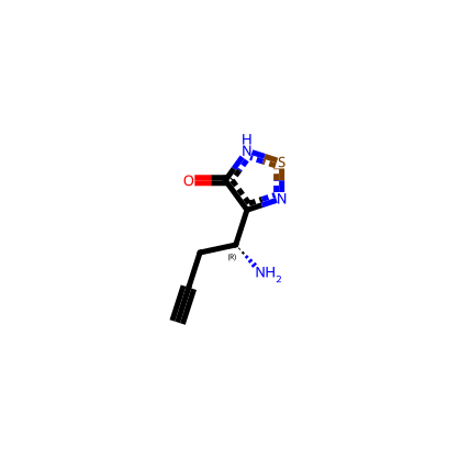 C#CC[C@@H](N)c1ns[nH]c1=O